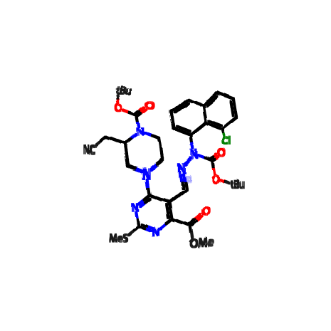 COC(=O)c1nc(SC)nc(N2CCN(C(=O)OC(C)(C)C)C(CC#N)C2)c1/C=N/N(C(=O)OC(C)(C)C)c1cccc2cccc(Cl)c12